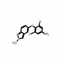 Cn1cc2cc(Oc3c(Cl)cc([N+](=O)[O-])cc3Cl)ccc2n1